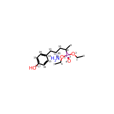 CCOP(=O)(OCC)C(C)C[C@H](N)Cc1ccc(O)cc1